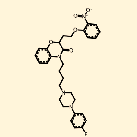 O=C1C(CCOc2ccccc2[N+](=O)[O-])Oc2ccccc2N1CCCCN1CCN(c2ccc(F)cc2)CC1